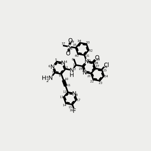 CC(Nc1ncnc(N)c1C#Cc1ccc(F)cn1)c1nc2cccc(Cl)c2c(=O)n1-c1cccc(S(C)(=O)=O)c1